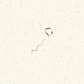 ClCCCCCOc1cc[c]cc1